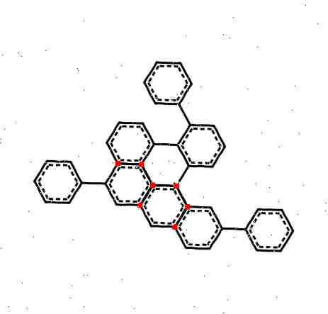 c1ccc(-c2ccc(N(c3cccc(-c4ccccc4)c3)c3cccc(-c4ccccc4)c3-c3ccccc3-c3ccccc3)cc2)cc1